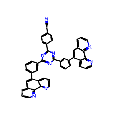 N#Cc1ccc(-c2nc(-c3cccc(-c4cc5cccnc5c5ncccc45)c3)nc(-c3cccc(-c4cc5cccnc5c5ncccc45)c3)n2)cc1